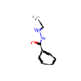 O=C(NNCC(F)(F)F)c1ccccc1